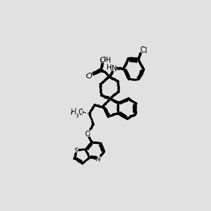 C[C@@H](COc1ccnc2ccsc12)CC1=Cc2ccccc2C12CCC(Nc1cccc(Cl)c1)(C(=O)O)CC2